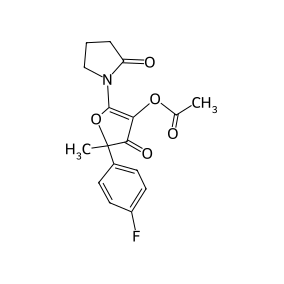 CC(=O)OC1=C(N2CCCC2=O)OC(C)(c2ccc(F)cc2)C1=O